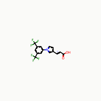 O=C(O)/C=C/c1ccn(-c2cc(C(F)(F)F)cc(C(F)(F)F)c2)c1